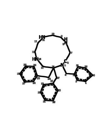 c1ccc(CN2CCNCCNCCNCC2(Cc2ccccc2)Cc2ccccc2)cc1